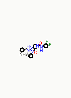 CC(=O)Nc1cccc(CNc2nc3c(c(=O)n2-c2ccccc2)CN(C(=O)Nc2ccc(F)c(F)c2)CC3)c1